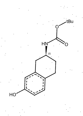 CC(C)(C)OC(=O)N[C@H]1CCc2ccc(O)cc2C1